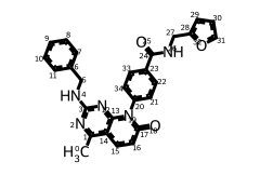 Cc1nc(NCc2ccccc2)nc2c1ccc(=O)n2-c1ccc(C(=O)NCc2ccco2)cc1